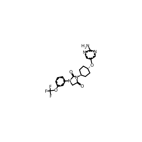 Nc1ncc(O[C@H]2CC[C@H](N3C(=O)CN(c4cccc(OC(F)(F)F)c4)C3=O)CC2)cn1